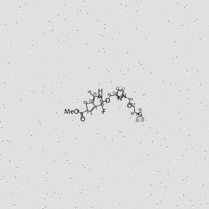 COC(=O)C1C=C2C(F)=C(OCc3ccn(COCC[Si](C)(C)C)n3)NC(C)=C2C1